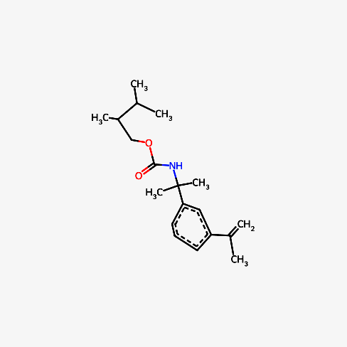 C=C(C)c1cccc(C(C)(C)NC(=O)OCC(C)C(C)C)c1